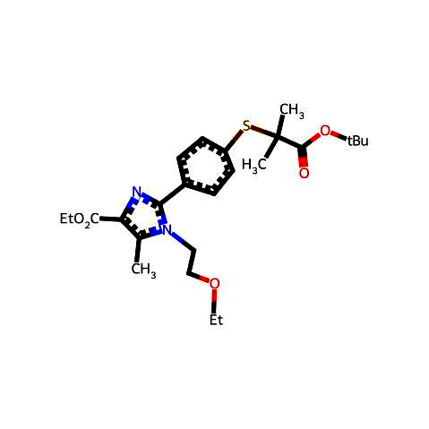 CCOCCn1c(-c2ccc(SC(C)(C)C(=O)OC(C)(C)C)cc2)nc(C(=O)OCC)c1C